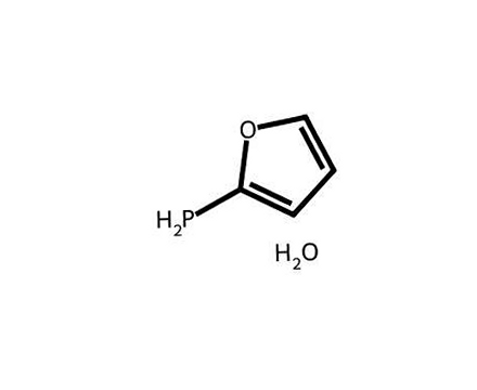 O.Pc1ccco1